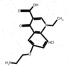 CCn1cc(C(=O)O)c(=O)c2cc(OCCN)ccc21.Cl